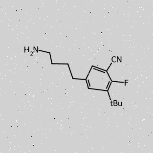 CC(C)(C)c1cc(CCCCN)cc(C#N)c1F